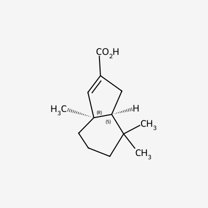 CC1(C)CCC[C@@]2(C)C=C(C(=O)O)C[C@@H]12